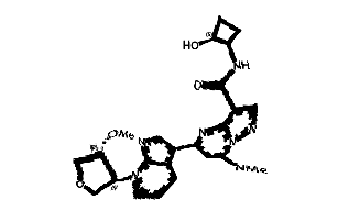 CNc1cc(-c2cnc3n([C@H]4COC[C@@H]4OC)cccc2-3)nc2c(C(=O)NC3CC[C@@H]3O)cnn12